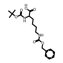 CC(C)(C)OC(=O)NC(CCCCNC(=O)OCc1ccccc1)C(=O)O